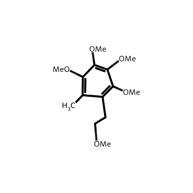 COCCc1c(C)c(OC)c(OC)c(OC)c1OC